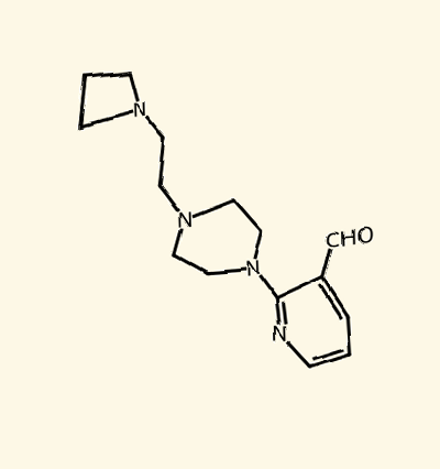 O=Cc1cccnc1N1CCN(CCN2CCC2)CC1